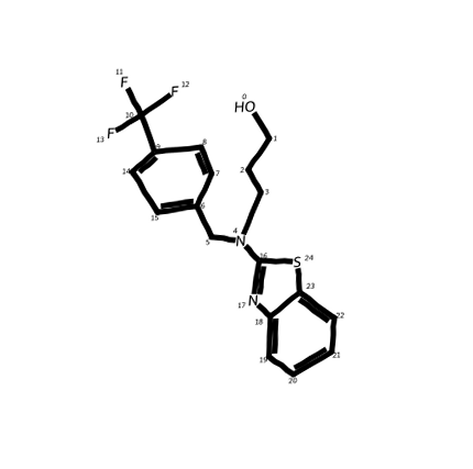 OCCCN(Cc1ccc(C(F)(F)F)cc1)c1nc2ccccc2s1